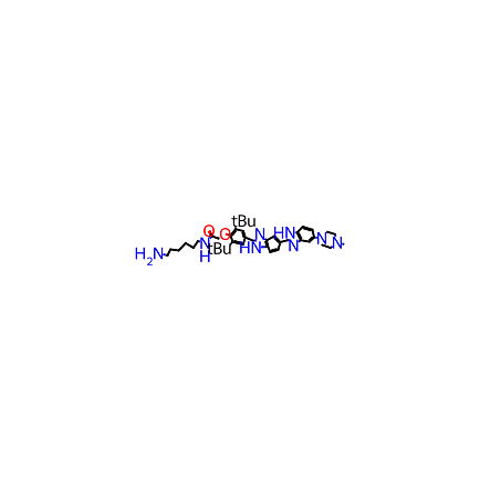 CN1CCN(c2ccc3[nH]c(-c4ccc5[nH]c(-c6cc(C(C)(C)C)c(OCC(=O)NCCCCCCN)c(C(C)(C)C)c6)nc5c4)nc3c2)CC1